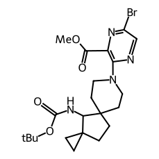 COC(=O)c1nc(Br)cnc1N1CCC2(CC1)CCC1(CC1)C2NC(=O)OC(C)(C)C